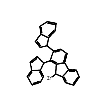 [Zr][CH]1c2ccccc2-c2ccc(C3C=Cc4ccccc43)c(C3C=Cc4ccccc43)c21